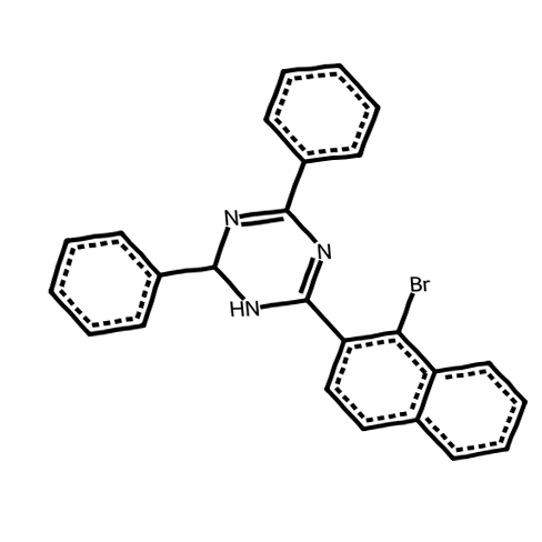 Brc1c(C2=NC(c3ccccc3)=NC(c3ccccc3)N2)ccc2ccccc12